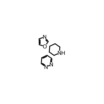 C1CCNCC1.c1ccnnc1.c1cocn1